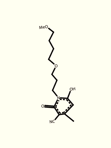 COCCCCOCCCn1c(O)cc(C)c(C#N)c1=O